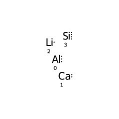 [Al].[Ca].[Li].[Si]